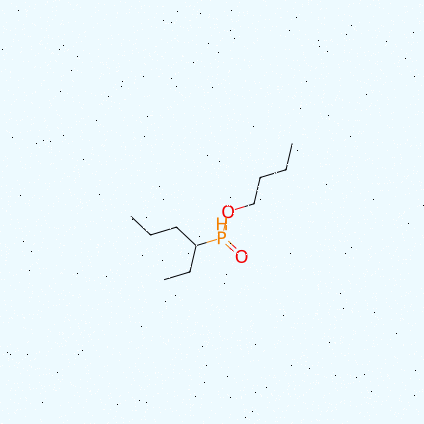 CCCCO[PH](=O)C(CC)CCC